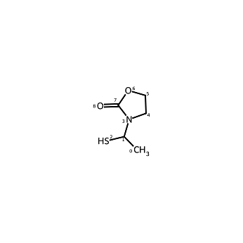 CC(S)N1CCOC1=O